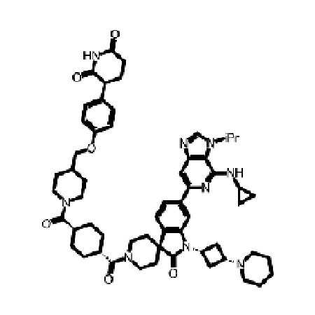 CC(C)n1cnc2cc(-c3ccc4c(c3)N([C@H]3C[C@@H](N5CCCCC5)C3)C(=O)C43CCN(C(=O)[C@H]4CC[C@H](C(=O)N5CCC(COc6ccc(C7CCC(=O)NC7=O)cc6)CC5)CC4)CC3)nc(NC3CC3)c21